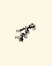 CCn1cc(-c2nc([C@@H](C)CCO)n3cc(Nc4ccnc(-c5cnn(C)c5O)n4)ncc23)cc1C(=O)OC